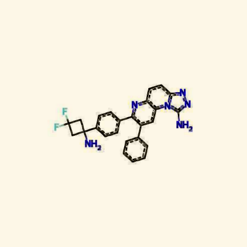 Nc1nnc2ccc3nc(-c4ccc(C5(N)CC(F)(F)C5)cc4)c(-c4ccccc4)cc3n12